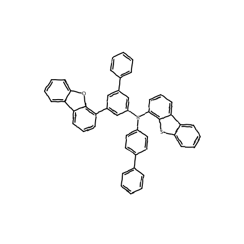 c1ccc(-c2ccc(N(c3cc(-c4ccccc4)cc(-c4cccc5c4oc4ccccc45)c3)c3cccc4c3sc3ccccc34)cc2)cc1